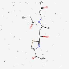 CCCC(=O)CCN(C(=O)C[C@@H](C)CC)[C@H](C[C@@H](O)c1nc(C(=O)OC)cs1)C(C)C